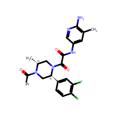 Cc1cc(NC(=O)C(=O)N2C[C@@H](C)N(C(=O)C(C)C)C[C@H]2c2ccc(F)c(F)c2)cnc1N